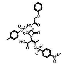 CC(OS(=O)(=O)c1ccc([N+](=O)[O-])cc1)=C(C(=O)O)N1C(=O)[C@@H](NC(=O)COc2ccccc2)[C@H]1SS(=O)(=O)c1ccc(C)cc1